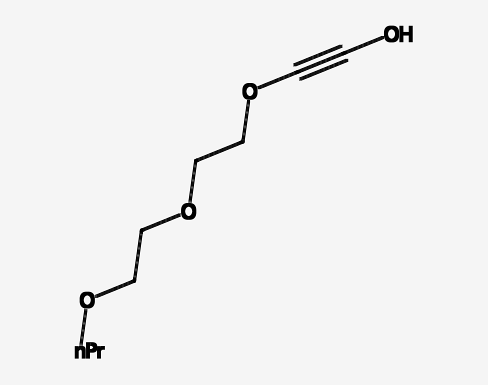 CCCOCCOCCOC#CO